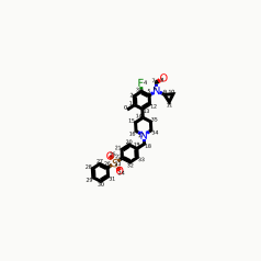 Cc1cc(F)c(N(C=O)C2CC2)cc1C1CCN(Cc2ccc(S(=O)(=O)c3ccccc3)cc2)CC1